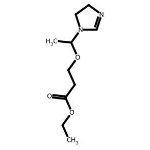 CCOC(=O)CCOC(C)N1C=NCC1